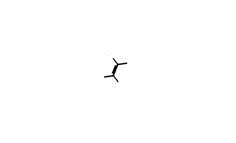 C/C(C(=O)O)=C(\C#N)C(=O)O